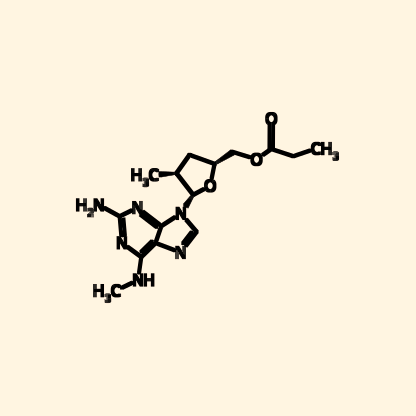 CCC(=O)OC[C@@H]1C[C@H](C)[C@H](n2cnc3c(NC)nc(N)nc32)O1